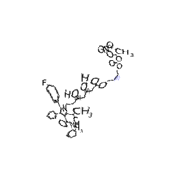 CC(OC(=O)OC/C=C\COC(=O)C[C@H](O)C[C@H](O)CCn1c(-c2ccc(F)cc2)c(-c2ccccc2)c(C(=O)Nc2ccccc2)c1C(C)C)O[N+](=O)[O-]